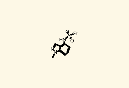 CCS(=O)(=O)Nc1cccc2c1cnn2C